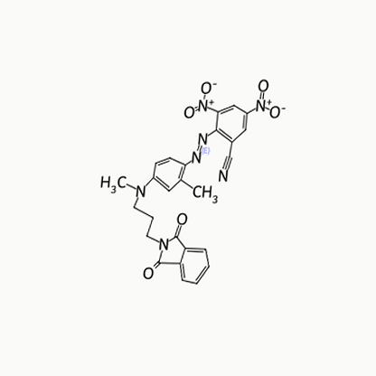 Cc1cc(N(C)CCCN2C(=O)c3ccccc3C2=O)ccc1/N=N/c1c(C#N)cc([N+](=O)[O-])cc1[N+](=O)[O-]